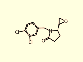 O=C1CC[C@H](C2CO2)N1Cc1ccc(Cl)c(Cl)c1